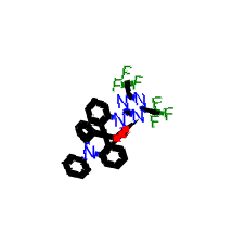 FC(F)(F)c1nc(N2c3ccccc3C3(c4ccccc4N(c4ccccc4)c4ccccc43)c3ccccc32)nc(C(F)(F)F)n1